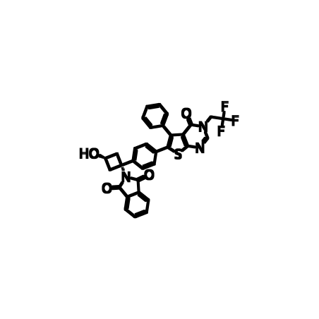 O=C1c2ccccc2C(=O)N1[C@]1(c2ccc(-c3sc4ncn(CC(F)(F)F)c(=O)c4c3-c3ccccc3)cc2)C[C@@H](O)C1